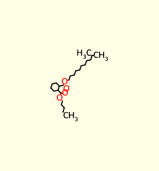 CCCCCOC(=O)C1CCCCC1C(=O)OCCCCCCCCCC(C)C